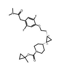 CN(C)C(=O)Cc1cc(F)c(OCC[C@@H]2C[C@@H]2C2CCN(C(=O)OC3(C)CC3)CC2)cc1F